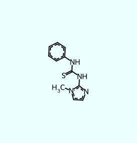 Cn1ccnc1NC(=S)Nc1ccccc1